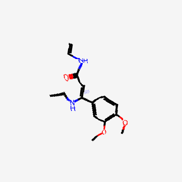 C=CNC(=O)/C=C(\NCC)c1ccc(OC)c(OC)c1